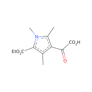 CCOC(=O)c1c(C)c(C(=O)C(=O)O)c(C)n1C